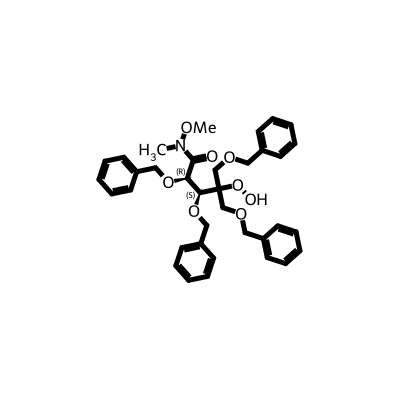 CON(C)C(=O)[C@H](OCc1ccccc1)[C@H](OCc1ccccc1)C(COCc1ccccc1)(COCc1ccccc1)OO